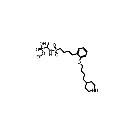 CCOP(=O)(O)C(C)NS(=O)(=O)CCCCc1ccccc1OCCCCC1CCNCC1